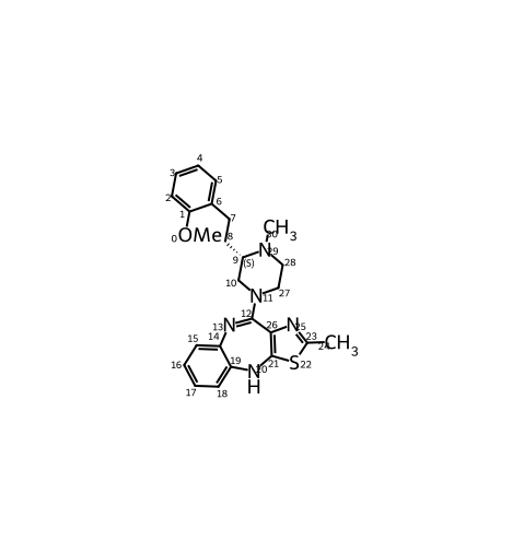 COc1ccccc1CC[C@H]1CN(C2=Nc3ccccc3Nc3sc(C)nc32)CCN1C